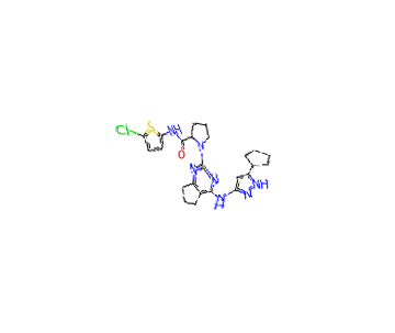 O=C(Nc1ccc(Cl)s1)C1CCCN1c1nc2c(c(Nc3cc(C4CCCC4)[nH]n3)n1)CCC2